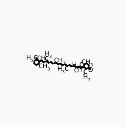 CC1=CCCC(C)(C)C1/C=C/C(C)=C/C=C/C(C)=C/C=C/C=C(C)/C=C/C=C(C)/C=C/C1=C(C)C(=O)CCC1(C)C